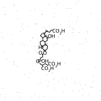 C[C@H](CCC(=O)O)[C@H]1CCC2C3CC[C@@H]4C[C@H](OC(=O)CCP(=O)(O)CC(CCC(=O)O)C(=O)O)CC[C@]4(C)C3C[C@H](O)[C@@]21C